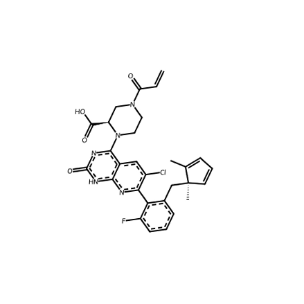 C=CC(=O)N1CCN(c2nc(=O)[nH]c3nc(-c4c(F)cccc4C[C@]4(C)C=CC=C4C)c(Cl)cc23)[C@@H](C(=O)O)C1